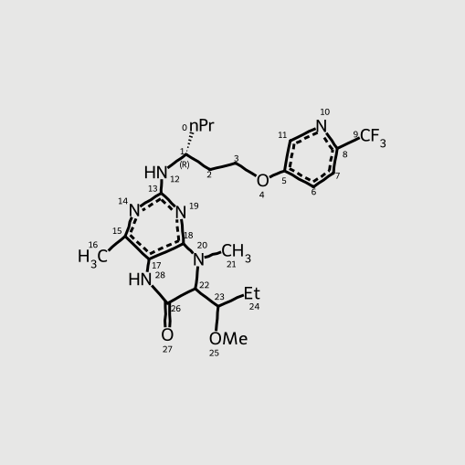 CCC[C@H](CCOc1ccc(C(F)(F)F)nc1)Nc1nc(C)c2c(n1)N(C)C(C(CC)OC)C(=O)N2